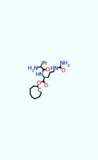 CC(C)[C@H](N)C(=O)N[C@@H](CCCNC(N)=O)C(=O)OC1CCCCCCCC1